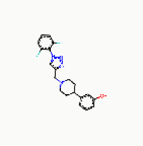 Oc1cccc(C2CCN(Cc3cn(-c4c(F)cccc4F)nn3)CC2)c1